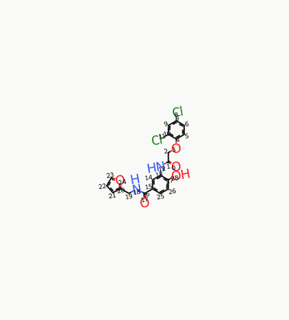 O=C(COc1ccc(Cl)cc1Cl)Nc1cc(C(=O)NCc2ccco2)ccc1O